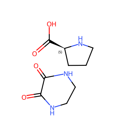 O=C(O)[C@@H]1CCCN1.O=C1NCCNC1=O